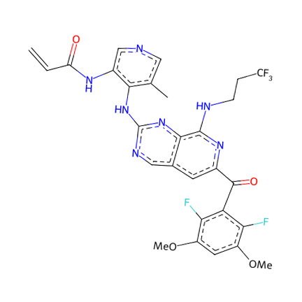 C=CC(=O)Nc1cncc(C)c1Nc1ncc2cc(C(=O)c3c(F)c(OC)cc(OC)c3F)nc(NCCC(F)(F)F)c2n1